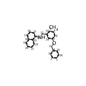 C.c1ccc(COc2cccc(CNc3cccc4ccccc34)c2)cc1